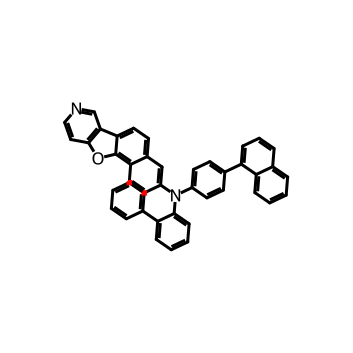 c1ccc(-c2ccccc2N(c2ccc(-c3cccc4ccccc34)cc2)c2ccc3c(ccc4c5cnccc5oc34)c2)cc1